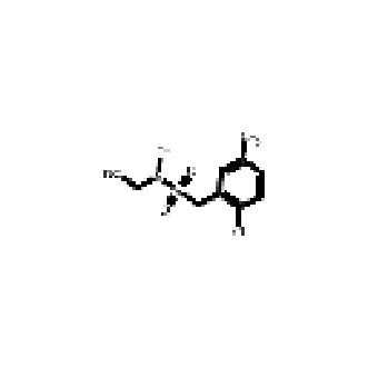 CCN(CC#N)S(=O)(=O)Cc1cc(C(F)(F)F)ccc1Cl